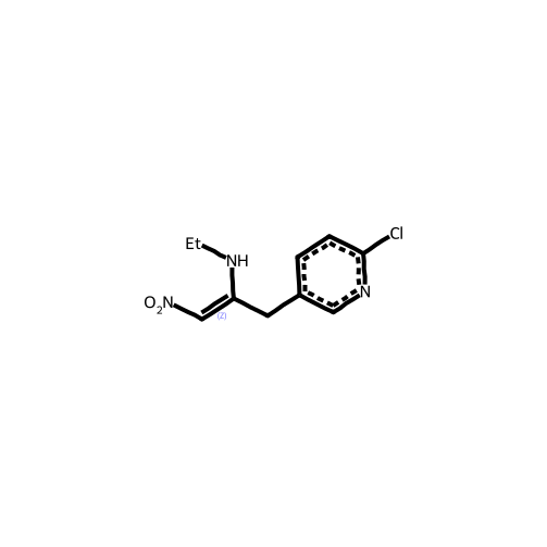 CCN/C(=C\[N+](=O)[O-])Cc1ccc(Cl)nc1